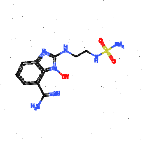 N=C(N)c1cccc2nc(NCCNS(N)(=O)=O)n(O)c12